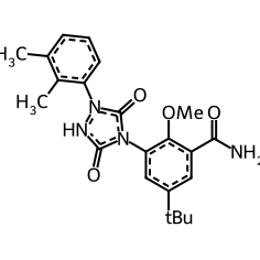 COc1c(C(N)=O)cc(C(C)(C)C)cc1-n1c(=O)[nH]n(-c2cccc(C)c2C)c1=O